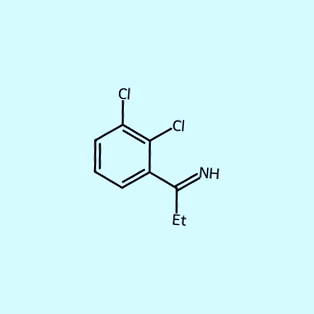 CCC(=N)c1cccc(Cl)c1Cl